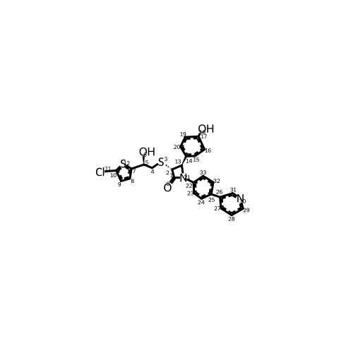 O=C1[C@H](SC[C@H](O)c2ccc(Cl)s2)[C@@H](c2ccc(O)cc2)N1c1ccc(-c2cccnc2)cc1